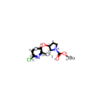 CC(C)(C)OC(=O)N1CCC(Oc2ccc(Cl)nc2C(F)(F)F)C1